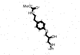 COC(=O)NCCc1ccc(OCC(O)CNC(C)C)cc1